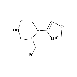 CC(C)CC1CNCCN1c1cocn1